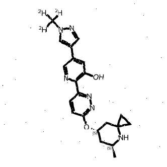 [2H]C([2H])([2H])n1cc(-c2cnc(-c3ccc(O[C@H]4C[C@H](C)NC5(CC5)C4)nn3)c(O)c2)cn1